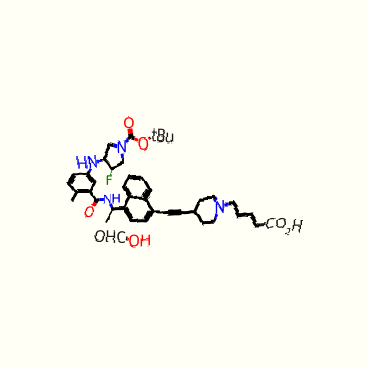 Cc1ccc(N[C@H]2CN(C(=O)OC(C)(C)C)C[C@@H]2F)cc1C(=O)N[C@H](C)c1ccc(C#CC2CCN(CCCCC(=O)O)CC2)c2ccccc12.O=CO